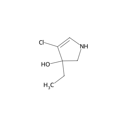 CCC1(O)CNC=C1Cl